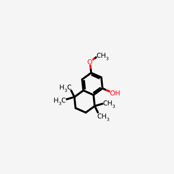 COc1cc(O)c2c(c1)C(C)(C)CCC2(C)C